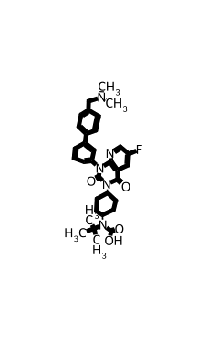 CN(C)Cc1ccc(-c2cccc(-n3c(=O)n([C@H]4CC[C@@H](N(C(=O)O)C(C)(C)C)CC4)c(=O)c4cc(F)cnc43)c2)cc1